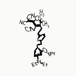 [C-]#[N+]C1=C(/C=C/c2ccc(/C=C/c3ccc(N(CC)CC)cc3OC(C)C)s2)C(C)(C)OC1=C(C#N)C#N